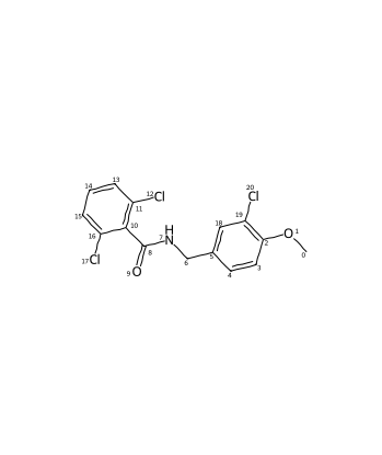 COc1ccc(CNC(=O)c2c(Cl)cccc2Cl)cc1Cl